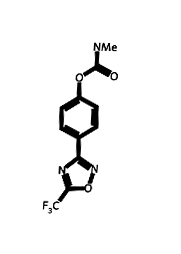 CNC(=O)Oc1ccc(-c2noc(C(F)(F)F)n2)cc1